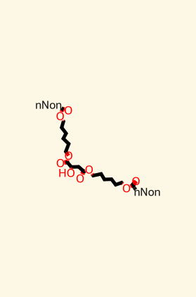 CCCCCCCCCC(=O)OCCCCCCOC(=O)CC(O)C(=O)OCCCCCCOC(=O)CCCCCCCCC